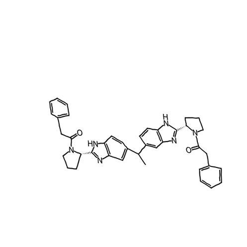 CC(c1ccc2[nH]c([C@@H]3CCCN3C(=O)Cc3ccccc3)nc2c1)c1ccc2[nH]c([C@@H]3CCCN3C(=O)Cc3ccccc3)nc2c1